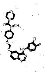 CN(C(=O)N1CCOCC1)[C@H]1CC[C@@H](OCOc2ccc3ncnc(Nc4ccc(F)c(Cl)c4)c3c2)CC1